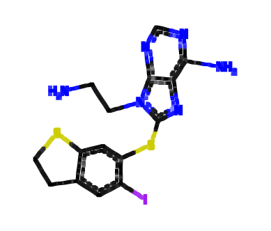 NCCn1c(Sc2cc3c(cc2I)CCS3)nc2c(N)ncnc21